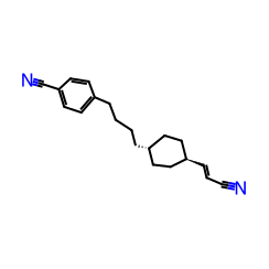 N#CC=C[C@H]1CC[C@H](CCCCc2ccc(C#N)cc2)CC1